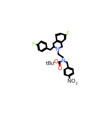 CC(C)(C)OC(=O)N(CCN1Cc2cc(F)ccc2CC1Cc1ccc(F)cc1)Cc1ccc([N+](=O)[O-])cc1